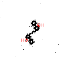 Oc1ccc(CCCCc2ccc(O)c(-c3ccccc3)c2)cc1-c1ccccc1